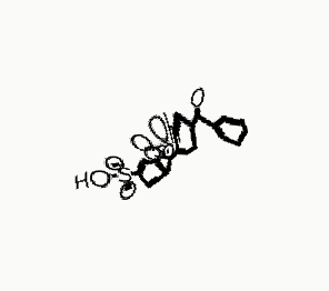 O=C(c1ccccc1)c1ccc(C2Oc3c(S(=O)(=O)O)ccc2c3S(=O)(=O)O)cc1